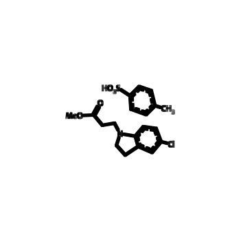 COC(=O)CCN1CCc2cc(Cl)ccc21.Cc1ccc(S(=O)(=O)O)cc1